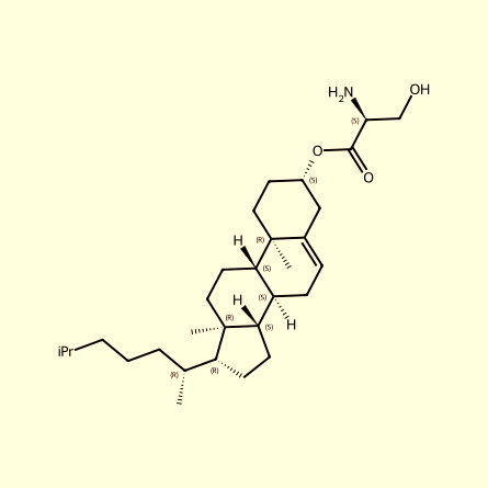 CC(C)CCC[C@@H](C)[C@H]1CC[C@H]2[C@@H]3CC=C4C[C@@H](OC(=O)[C@@H](N)CO)CC[C@]4(C)[C@H]3CC[C@]12C